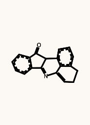 O=C1c2ccccc2C2=NC3=CCCc4cccc(c43)C12